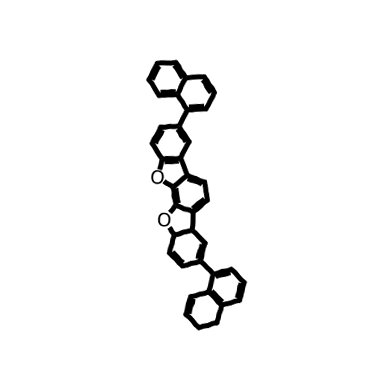 C1=Cc2c(cccc2C2=CC3c4ccc5c(oc6ccc(-c7cccc8ccccc78)cc65)c4OC3C=C2)CC1